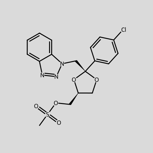 CS(=O)(=O)OC[C@@H]1CO[C@@](Cn2nnc3ccccc32)(c2ccc(Cl)cc2)O1